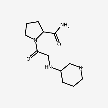 NC(=O)C1CCCN1C(=O)CNC1CCC[N]C1